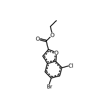 CCOC(=O)c1cc2cc(Br)cc(Cl)c2o1